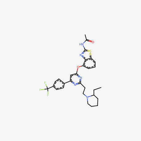 CCC1CCCCN1CCc1nc(Oc2cccc3sc(NC(C)=O)nc23)cc(-c2ccc(C(F)(F)F)cc2)n1